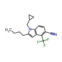 CCCCc1cc2c(C(F)(F)F)c(C#N)ccc2n1CC1CC1